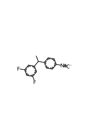 [C-]#[N+]c1ccc(C(C)c2cc(F)cc(F)c2)cc1